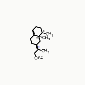 CC(=O)OC/C(C)=C1\CCC2=CCC[C@@H](C)[C@]2(C)C1